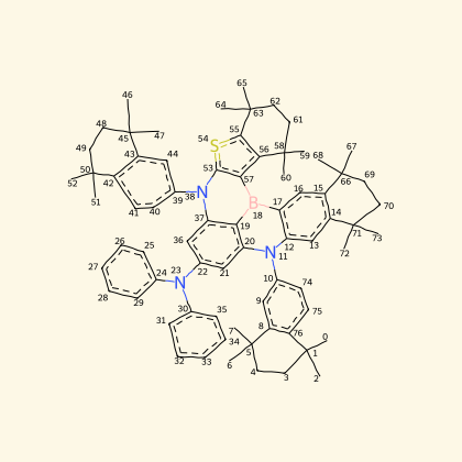 CC1(C)CCC(C)(C)c2cc(N3c4cc5c(cc4B4c6c3cc(N(c3ccccc3)c3ccccc3)cc6N(c3ccc6c(c3)C(C)(C)CCC6(C)C)c3sc6c(c34)C(C)(C)CCC6(C)C)C(C)(C)CCC5(C)C)ccc21